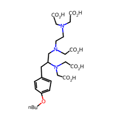 CCCCOc1ccc(CC(CN(CCN(CC(=O)O)CC(=O)O)CC(=O)O)N(CC(=O)O)CC(=O)O)cc1